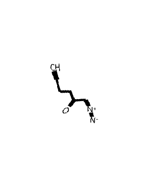 C#CCCC(=O)C=[N+]=[N-]